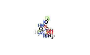 CN1C[C@@](C)(c2cc(NC(=O)c3ccc(C(F)(F)F)cn3)ccc2F)NC(=N)C(C)(C)S1(O)O